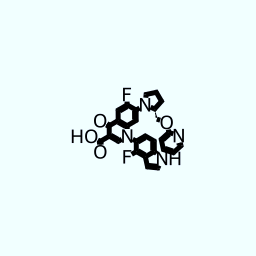 O=C(O)c1cn(-c2ccc3[nH]ccc3c2F)c2cc(N3CCC[C@@H]3COc3ccccn3)c(F)cc2c1=O